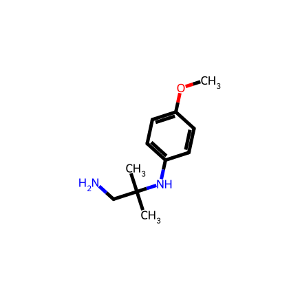 COc1ccc(NC(C)(C)CN)cc1